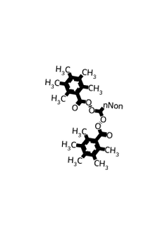 [CH2]CCCCCCCC[C](OOC(=O)c1c(C)c(C)c(C)c(C)c1C)OOC(=O)c1c(C)c(C)c(C)c(C)c1C